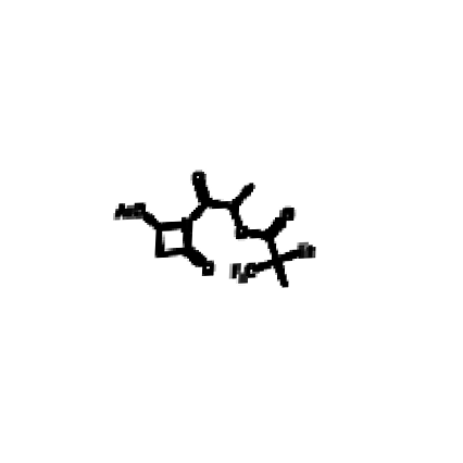 CCC(C)(C(=O)OC(C)C(=O)N1C(=O)CC1OC(C)=O)C(F)(F)F